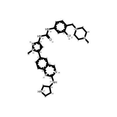 CN1CCN(Cc2ccc(NC(=O)Nc3cc(-c4ccc5nc(NC6CCNC6)ncc5c4)n(C)n3)cc2C(F)(F)F)CC1